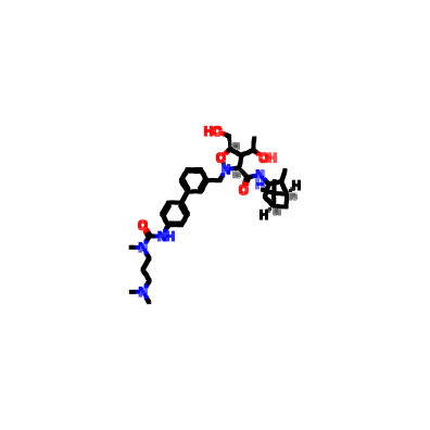 CC(O)C1[C@H](CO)ON(Cc2cccc(-c3ccc(NC(=O)N(C)CCCN(C)C)cc3)c2)[C@@H]1C(=O)NC1C[C@@H]2C[C@H](C1C)C2(C)C